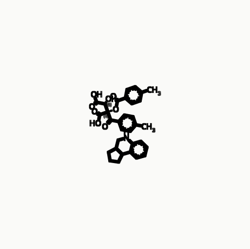 Cc1ccc(C(=O)O[C@@](C(=O)O)(C(=O)c2ccc(C)cc2)[C@H](O)C(=O)O)cc1.c1ccc2c(c1)NCC1CCCC21